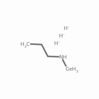 CCC[NH][GeH3].[H-].[H-].[H-]